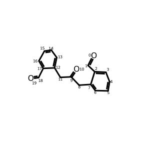 O=Cc1ccccc1CC(=O)Cc1ccccc1C=O